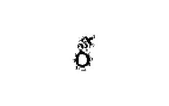 CC(C)(C)[Si](C)(C)OC1C=CCCCCC1